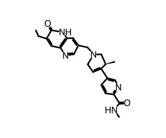 CCc1cc2ncc(CN3CC=C(c4ccc(C(=O)NC)nc4)[C@H](C)C3)cc2[nH]c1=O